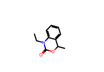 CCN1C(=O)OC(C)c2ccccc21